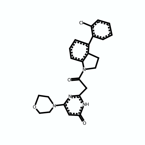 O=C(Cc1nc(N2CCOCC2)cc(=O)[nH]1)N1CCc2c(-c3ccccc3Cl)cccc21